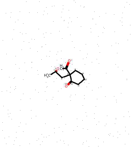 CC(=O)CC1(C(C)=O)CCCCC1=O